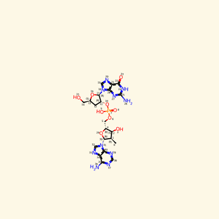 C[C@@H]1[C@H](O)[C@@H](COP(=O)(O)O[C@@H]2C[C@@H](CO)O[C@H]2n2cnc3c(=O)[nH]c(N)nc32)O[C@H]1n1cnc2c(N)ncnc21